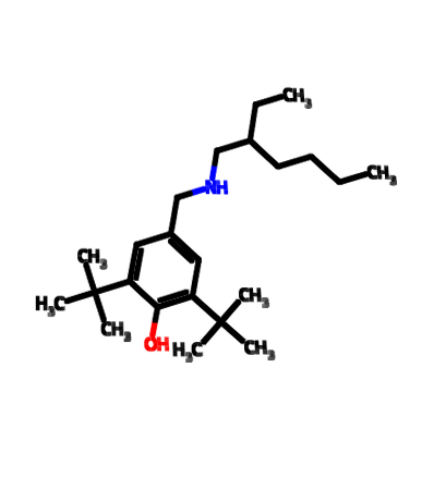 CCCCC(CC)CNCc1cc(C(C)(C)C)c(O)c(C(C)(C)C)c1